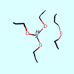 CCOCC.CCO[SiH](OCC)OCC